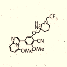 COc1cc(-c2cnc3cccc(OC)n23)cc(OCC2(N)CCCN(CC(F)(F)F)C2)c1C#N